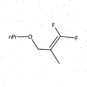 CCCOCC(C)=C(F)F